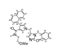 COCCN(C)C(=O)c1cn(Cc2cncn2Cc2ccccc2Cl)cc1-c1cccc2ccccc12